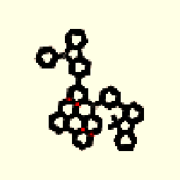 CC1(C)c2ccccc2-c2cccc(-c3cccc(N(c4cccc(-c5ccc6c7ccccc7n(-c7ccccc7)c6c5)c4)c4ccccc4-c4cccc5cccc(-c6ccccc6)c45)c3)c21